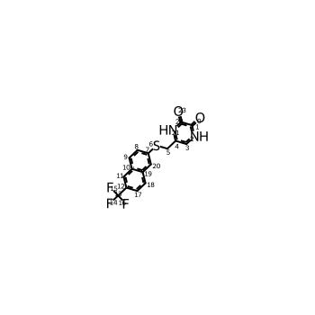 O=c1[nH]cc(CSc2ccc3cc(C(F)(F)F)ccc3c2)[nH]c1=O